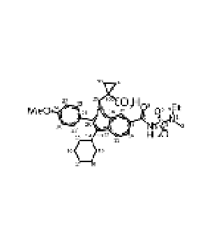 CCN(C)S(=O)(=O)NC(=O)c1ccc2c(C3CCCCC3)c(-c3ccc(OC)cc3)n(CC3(C(=O)O)CC3)c2c1